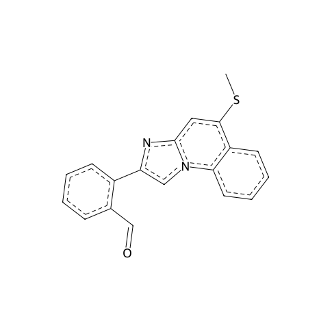 CSc1cc2nc(-c3ccccc3C=O)cn2c2ccccc12